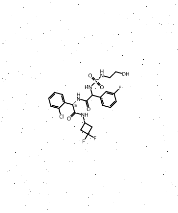 O=C(N[C@H](C(=O)NC1CC(F)(F)C1)c1ccccc1Cl)C(NS(=O)(=O)NCCO)c1cccc(F)c1